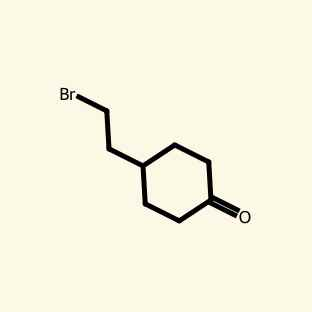 O=C1CCC(CCBr)CC1